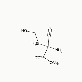 C#CC(N)([SiH2]CO)C(=O)OC